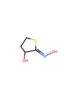 ON=C1SCCC1O